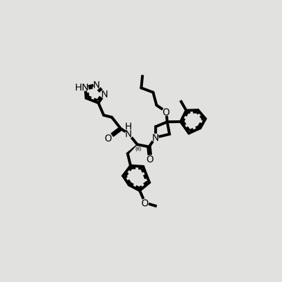 CCCCOC1(c2ccccc2C)CN(C(=O)[C@@H](Cc2ccc(OC)cc2)NC(=O)CCc2c[nH]nn2)C1